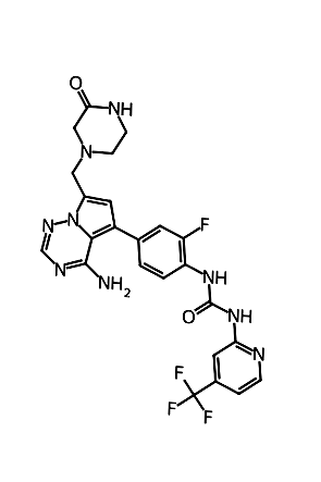 Nc1ncnn2c(CN3CCNC(=O)C3)cc(-c3ccc(NC(=O)Nc4cc(C(F)(F)F)ccn4)c(F)c3)c12